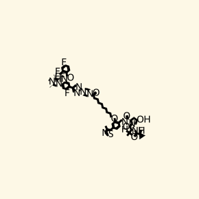 Cc1ncsc1-c1ccc(CNC(=O)[C@@H]2C[C@@H](O)CN2C(=O)[C@@H](NC(=O)C2(F)CC2)C(C)(C)C)c(OCCCCCCCCCC(=O)N2CCN(c3ncc(-c4cc(NC(=O)c5ccc(F)cc5C(F)(F)F)c(N5C[C@@H](C)N(C)[C@@H](C)C5)cc4F)cn3)CC2)c1